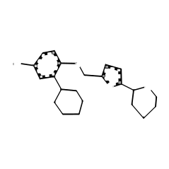 CC(C)c1ccc(NCc2ccc(C3CCCCO3)o2)c(C2CCCCC2)c1